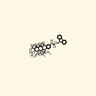 C[C@H]1c2ccc(NC(=O)OCC3c4ccccc4-c4ccccc43)cc2C(=O)C2=C(O)[C@]3(O)C(=O)C(C(N)=O)=C(O)[C@@H](N(C)C)[C@@H]3[C@@H](O)[C@@H]21